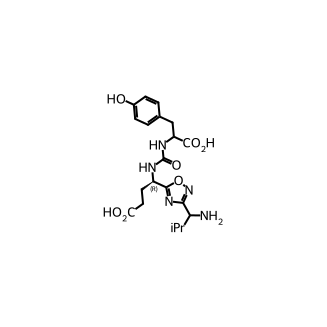 CC(C)C(N)c1noc([C@@H](CCC(=O)O)NC(=O)NC(Cc2ccc(O)cc2)C(=O)O)n1